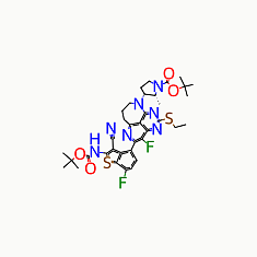 CCSc1nc2c3c(nc(-c4ccc(F)c5sc(NC(=O)OC(C)(C)C)c(C#N)c45)c(F)c3n1)CCCN2[C@@H]1CCN(C(=O)OC(C)(C)C)[C@@H]1C